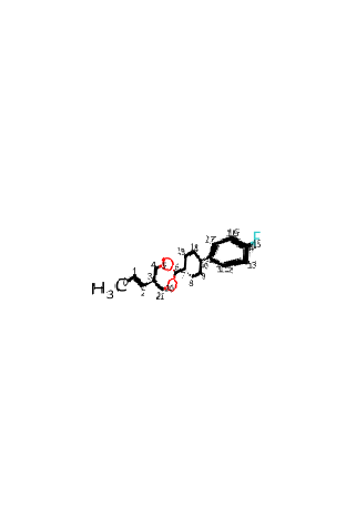 CC=C[C@H]1CO[C@H]([C@H]2CC[C@H](c3ccc(F)cc3)CC2)OC1